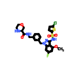 COc1cc(F)cc2c1c(NS(=O)(=O)c1ccc(Cl)s1)nn2Cc1cccc(CNC(=O)C2COCCN2)c1